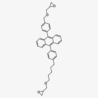 c1ccc2c(-c3ccc(COCC4CO4)cc3)c3ccccc3c(-c3ccc(CCCCCOCC4CO4)cc3)c2c1